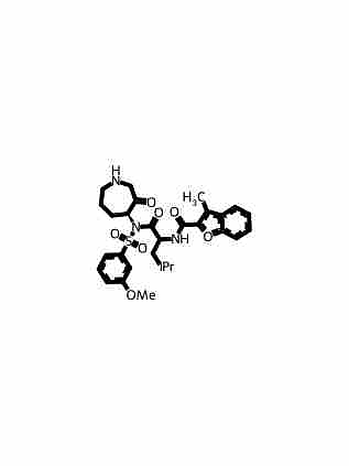 COc1cccc(S(=O)(=O)N(C(=O)C(CC(C)C)NC(=O)c2oc3ccccc3c2C)[C@H]2CCCNCC2=O)c1